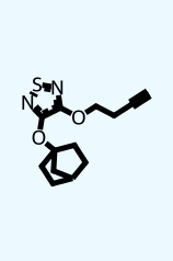 C#CCCOc1nsnc1OC12CCC(CC1)C2